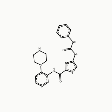 O=C(Nc1ccccc1)Nc1csc(C(=O)Nc2cnccc2N2CCNCC2)n1